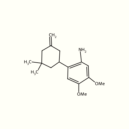 C=C1CC(c2cc(OC)c(OC)cc2N)CC(C)(C)C1